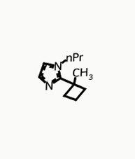 CCCn1ccnc1C1(C)CCC1